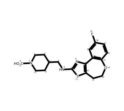 O=C(O)N1CCC(CNc2nc3c(s2)CCOc2ccc(F)cc2-3)CC1